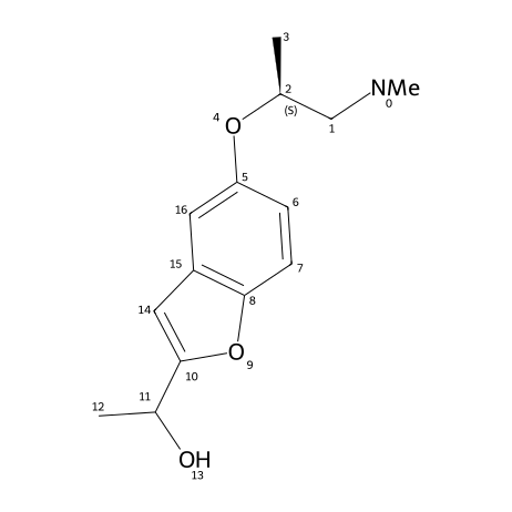 CNC[C@H](C)Oc1ccc2oc(C(C)O)cc2c1